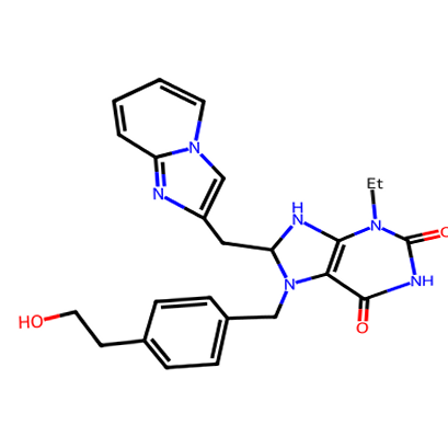 CCn1c2c(c(=O)[nH]c1=O)N(Cc1ccc(CCO)cc1)C(Cc1cn3ccccc3n1)N2